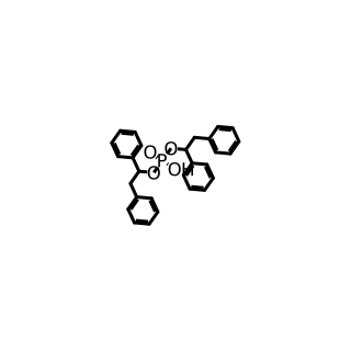 O=P(O)(OC(Cc1ccccc1)c1ccccc1)OC(Cc1ccccc1)c1ccccc1